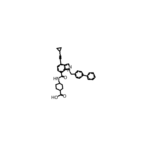 O=C(NC1CCC(C(=O)O)CC1)c1ccc(C#CC2CC2)c2cnn(Cc3ccc(-c4ccccc4)cc3)c12